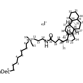 CCCCCCCCCCCCCCCCCC[N+](C)(C)CCCNC(=O)CC[C@@H](C)[C@H]1CC[C@H]2[C@@H]3CCC4CCCC[C@]4(C)[C@H]3CC[C@]12C.[I-]